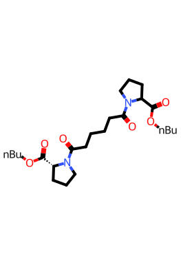 CCCCOC(=O)C1CCCN1C(=O)CCCCC(=O)N1CCC[C@@H]1C(=O)OCCCC